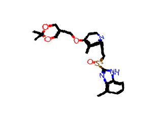 Cc1c(OCC2COC(C)(C)OC2)ccnc1C[S+]([O-])c1nc2c(C)cccc2[nH]1